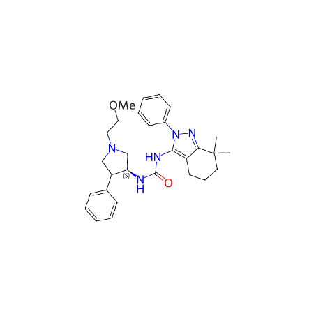 COCCN1CC(c2ccccc2)[C@H](NC(=O)Nc2c3c(nn2-c2ccccc2)C(C)(C)CCC3)C1